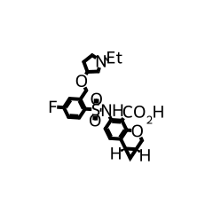 CCN1CCC(OCc2cc(F)ccc2S(=O)(=O)Nc2ccc3c(c2C(=O)O)OC[C@@H]2C[C@H]32)C1